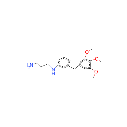 COc1cc(Cc2cccc(NCCCN)c2)cc(OC)c1OC